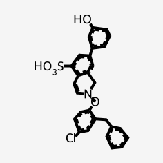 O=S(=O)(O)c1cc(-c2cccc(O)c2)cc2c1C=CN(Oc1ccc(Cl)cc1Cc1ccccc1)C2